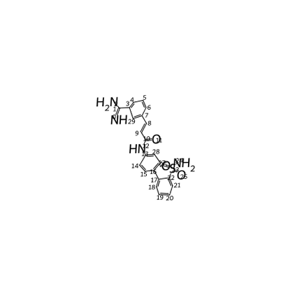 N=C(N)c1cccc(/C=C/C(=O)Nc2ccc(-c3ccccc3S(N)(=O)=O)cc2)c1